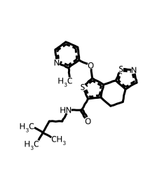 Cc1ncccc1Oc1sc(C(=O)NCCC(C)(C)C)c2c1-c1sncc1CC2